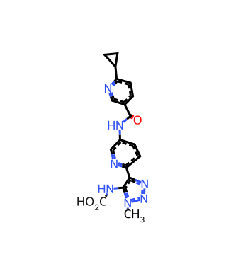 Cn1nnc(-c2ccc(NC(=O)c3ccc(C4CC4)nc3)cn2)c1NC(=O)O